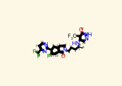 C[C@@H](CCCn1ccc2cc(-c3nccc(C(F)F)n3)c(F)cc2c1=O)Nc1cn[nH]c(=O)c1C(F)(F)F